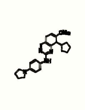 COC1=CCc2cnc(Nc3ccc(N4CCCC4)cc3)nc2C1C1CCCC1